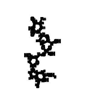 Nc1nc2c(ncn2[C@H]2C[C@@H](O)C(COP(=O)(S)O[C@@H]3C[C@H](n4cc(F)c(=O)[nH]c4=O)OC3CO)O2)c(=S)[nH]1